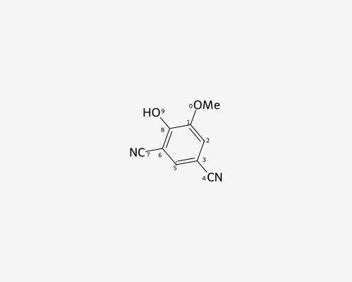 COc1cc(C#N)[c]c(C#N)c1O